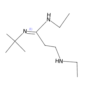 CCNCC/C(=N\C(C)(C)C)NCC